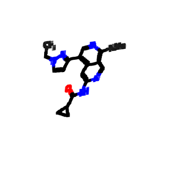 CNc1ncc(-c2ccn(CC(F)(F)F)n2)c2cc(NC(=O)C3CC3)ncc12